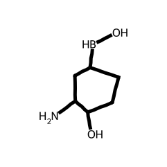 NC1CC(BO)CCC1O